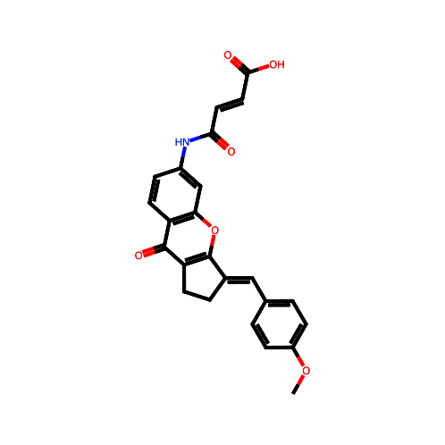 COc1ccc(C=C2CCc3c2oc2cc(NC(=O)C=CC(=O)O)ccc2c3=O)cc1